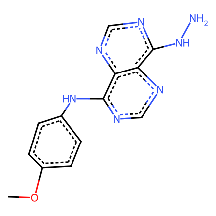 COc1ccc(Nc2ncnc3c(NN)ncnc23)cc1